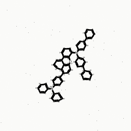 c1ccc(-c2ccc(N(c3ccc(-c4ccccc4)cc3)c3cccc4c3Oc3ccc(-c5ccc(N(c6ccccc6)c6ccccc6)cc5)c5cccc-4c35)cc2)cc1